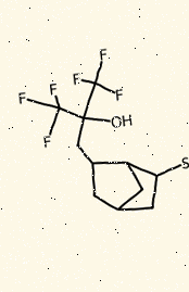 OC(CC1CC2CC(S)C1C2)(C(F)(F)F)C(F)(F)F